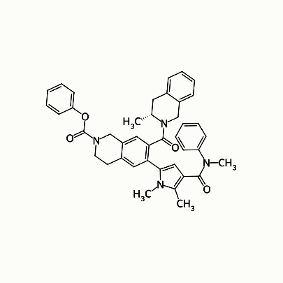 Cc1c(C(=O)N(C)c2ccccc2)cc(-c2cc3c(cc2C(=O)N2Cc4ccccc4C[C@H]2C)CN(C(=O)Oc2ccccc2)CC3)n1C